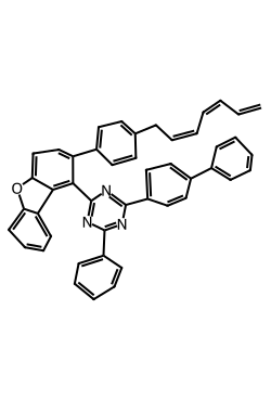 C=C/C=C\C=C/Cc1ccc(-c2ccc3oc4ccccc4c3c2-c2nc(-c3ccccc3)nc(-c3ccc(-c4ccccc4)cc3)n2)cc1